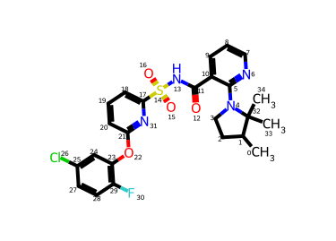 CC1CCN(c2ncccc2C(=O)NS(=O)(=O)c2cccc(Oc3cc(Cl)ccc3F)n2)C1(C)C